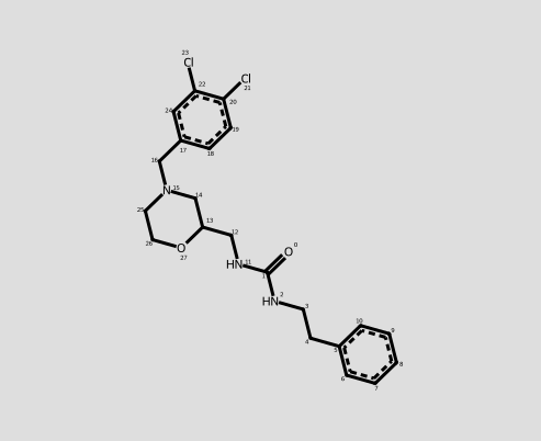 O=C(NCCc1ccccc1)NCC1CN(Cc2ccc(Cl)c(Cl)c2)CCO1